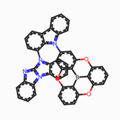 c1cc2c3c(c1)Oc1cc(-n4c5ccccc5c5cccc(-n6c7ccccc7n7c8ccccc8nc67)c54)cc4c1B3c1c(cccc1O4)O2